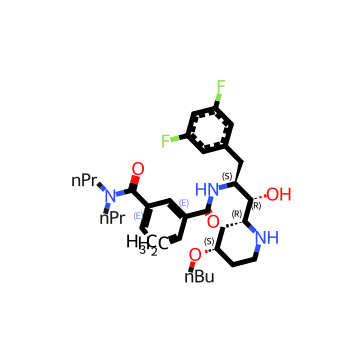 C=C/C(=C\C(=C/C)C(=O)N(CCC)CCC)C(=O)N[C@@H](Cc1cc(F)cc(F)c1)[C@H](O)[C@H]1C[C@@H](OCCCC)CCN1